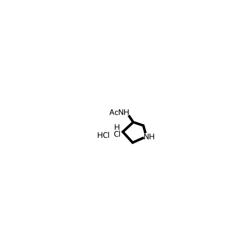 CC(=O)NC1CCNC1.Cl.Cl